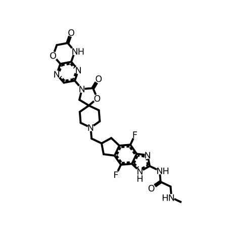 CNCC(=O)Nc1nc2c(F)c3c(c(F)c2[nH]1)CC(CN1CCC2(CC1)CN(c1cnc4c(n1)NC(=O)CO4)C(=O)O2)C3